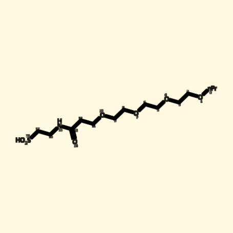 CCCOCCOCCOCCOCCC(=O)NCCS(=O)(=O)O